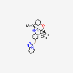 COc1cccc2c1[C@H]1Nc3ccc(Sc4nnc5ccccn45)cc3C(C)(C)[C@H]1CO2